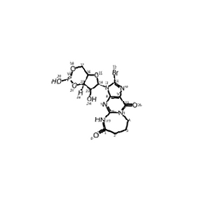 O=C1CCCn2c(nc3c(nc(Br)n3[C@@H]3OC4COP(O)O[C@H]4C3O)c2=O)N1